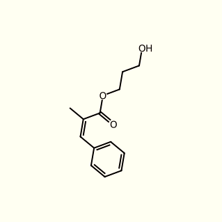 CC(=Cc1ccccc1)C(=O)OCCCO